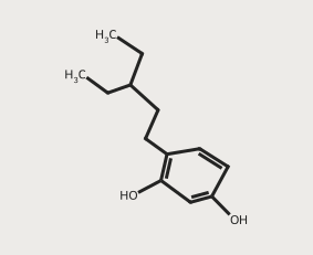 CCC(CC)CCc1ccc(O)cc1O